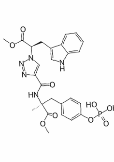 COC(=O)[C@@H](Cc1c[nH]c2ccccc12)n1cc(C(=O)N[C@@](C)(Cc2ccc(OP(=O)(O)O)cc2)C(=O)OC)nn1